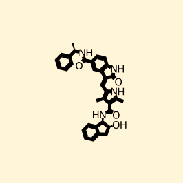 Cc1[nH]c(/C=C2\C(=O)Nc3ccc(C(=O)N[C@H](C)c4ccccc4)cc32)c(C)c1C(=O)N[C@@H]1c2ccccc2C[C@@H]1O